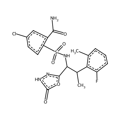 Cc1cccc(F)c1C(C)C(NS(=O)(=O)c1ccc(Cl)cc1C(N)=O)c1n[nH]c(=O)o1